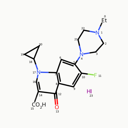 CCN1CCN(c2cc3c(cc2F)c(=O)c(C(=O)O)cn3C2CC2)CC1.I